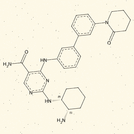 NC(=O)c1cnc(N[C@@H]2CCCC[C@@H]2N)nc1Nc1cccc(-c2cccc(N3CCCCC3=O)c2)c1